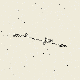 CCCCCCCC/C=C\CCCCCCCC(=O)CCCCCCCCCCCCCCC(=O)NC[C@@H](O)CCCCCCCCCCCCCCCCCC